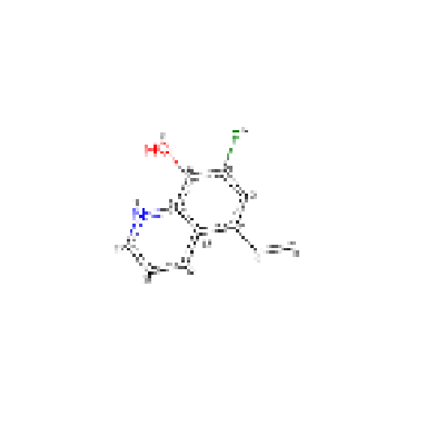 C=Cc1cc(F)c(O)c2ncccc12